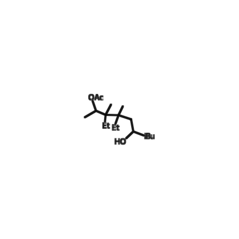 CCC(C)C(O)CC(C)(CC)C(C)(CC)C(C)OC(C)=O